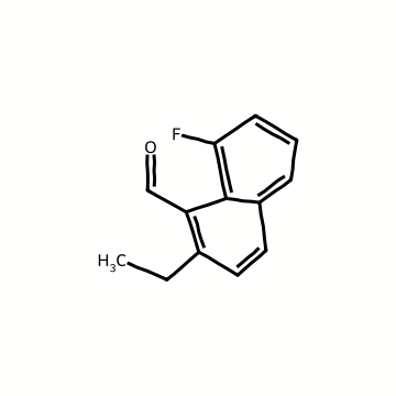 CCc1ccc2cccc(F)c2c1C=O